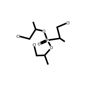 CC(CCl)OP(=O)(OC(C)CCl)C(C)CCl